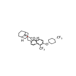 O=C(O)C1CC2CCC[C@H](C1)N2CCc1ccc2c(C(F)(F)F)c(O[C@H]3CC[C@@H](C(F)(F)F)CC3)ccc2c1